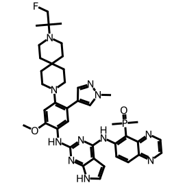 COc1cc(N2CCC3(CC2)CCN(C(C)(C)CF)CC3)c(-c2cnn(C)c2)cc1Nc1nc(Nc2ccc3nccnc3c2P(C)(C)=O)c2cc[nH]c2n1